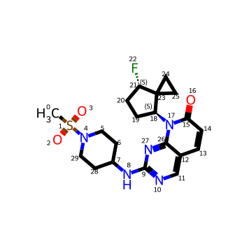 CS(=O)(=O)N1CCC(Nc2ncc3ccc(=O)n([C@H]4CC[C@H](F)C45CC5)c3n2)CC1